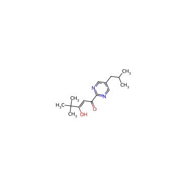 CC(C)Cc1cnc(C(=O)/C=C(\O)C(C)(C)C)nc1